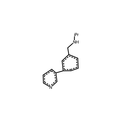 CC(C)NCc1cccc(-c2cccnc2)c1